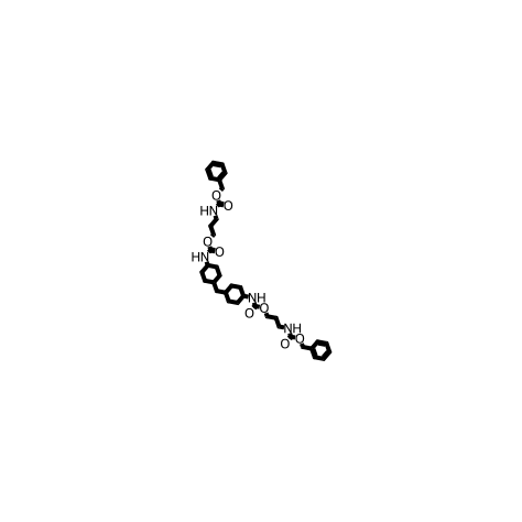 O=C(NCCCOC(=O)NC1CCC(CC2CCC(NC(=O)OCCCNC(=O)OCc3ccccc3)CC2)CC1)OCc1ccccc1